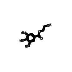 CC(C)(C)c1cc(C(=O)OCCO)cc(C(C)(C)C)c1O